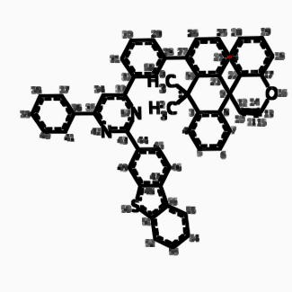 CC1(C)c2ccccc2C2(c3ccccc3Oc3ccccc32)c2cccc(-c3cccc(-c4cc(-c5ccccc5)nc(-c5ccc6c(c5)sc5ccccc56)n4)c3)c21